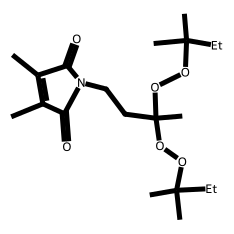 CCC(C)(C)OOC(C)(CCN1C(=O)C(C)=C(C)C1=O)OOC(C)(C)CC